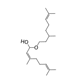 CC(C)=CCC/C(C)=C\C(O)OCCC(C)CCC=C(C)C